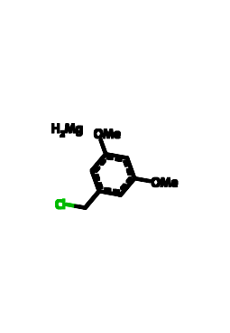 COc1cc(CCl)cc(OC)c1.[MgH2]